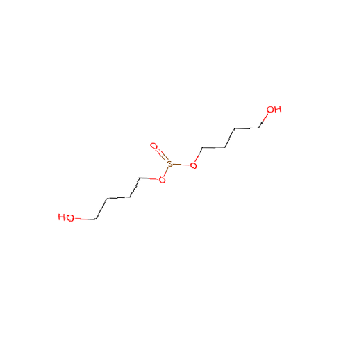 O=S(OCCCCO)OCCCCO